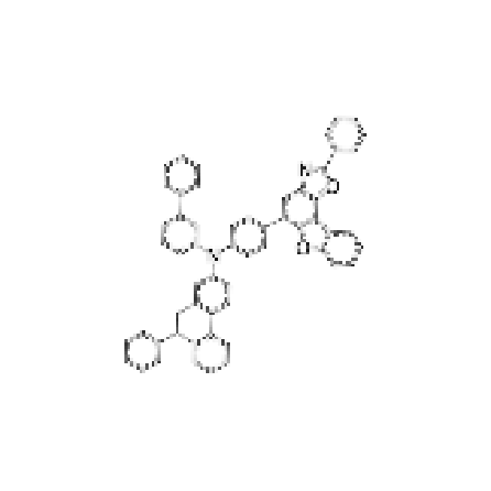 c1ccc(-c2cccc(N(c3ccc(-c4cc5nc(-c6ccccc6)oc5c5c4oc4ccccc45)cc3)c3ccc4c(c3)CC(c3ccccc3)c3ccccc3-4)c2)cc1